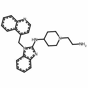 NCCN1CCC(Nc2nc3ccccc3n2Cc2ccnc3ccccc23)CC1